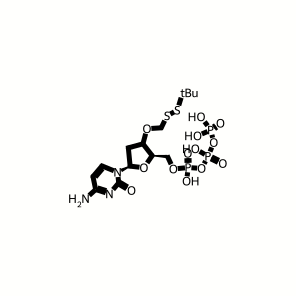 CC(C)(C)SSCOC1C[C@H](n2ccc(N)nc2=O)O[C@@H]1COP(=O)(O)OP(=O)(O)OP(=O)(O)O